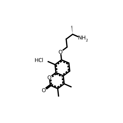 Cc1c(C)c2ccc(OCC[C@H](C)N)c(C)c2oc1=O.Cl